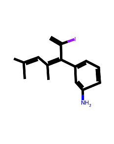 C=C(I)/C(=C(/C)C=C(C)C)c1cccc(N)c1